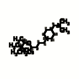 CC(CCCN1CCC(CN(C)C)CC1)OC(C)C(C)(C)C